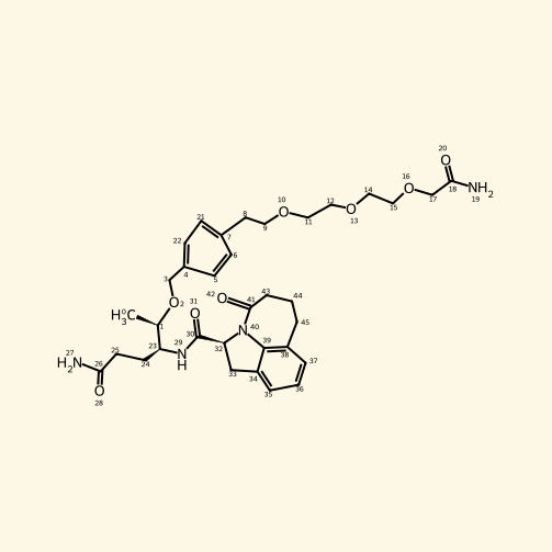 C[C@@H](OCc1ccc(CCOCCOCCOCC(N)=O)cc1)[C@H](CCC(N)=O)NC(=O)[C@@H]1Cc2cccc3c2N1C(=O)CCC3